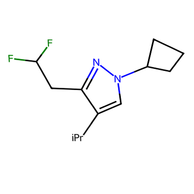 CC(C)c1cn(C2CCC2)nc1CC(F)F